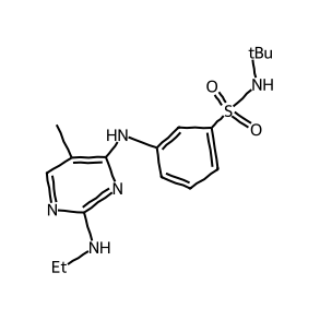 CCNc1ncc(C)c(Nc2cccc(S(=O)(=O)NC(C)(C)C)c2)n1